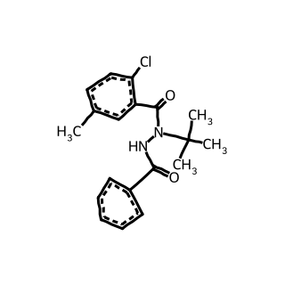 Cc1ccc(Cl)c(C(=O)N(NC(=O)c2ccccc2)C(C)(C)C)c1